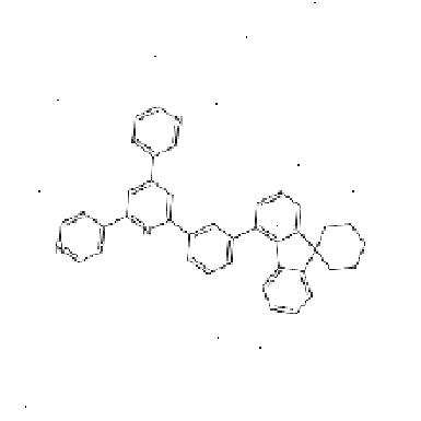 c1cncc(-c2cc(-c3ccncc3)nc(-c3cccc(-c4cccc5c4-c4ccccc4C54CCCCC4)c3)c2)c1